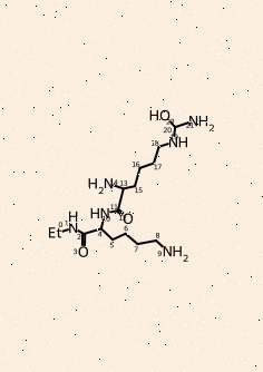 CCNC(=O)C(CCCCN)NC(=O)C(N)CCCCNC(N)O